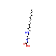 CCCCCCCCCCCCNCCC=NCC(=O)O